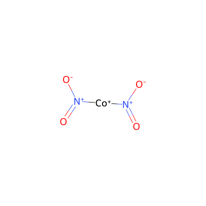 O=[N+]([O-])[Co+][N+](=O)[O-]